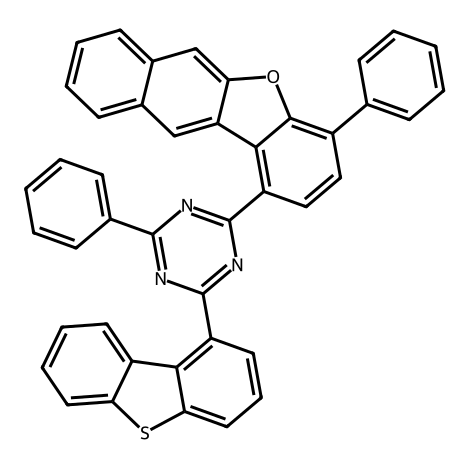 c1ccc(-c2nc(-c3cccc4sc5ccccc5c34)nc(-c3ccc(-c4ccccc4)c4oc5cc6ccccc6cc5c34)n2)cc1